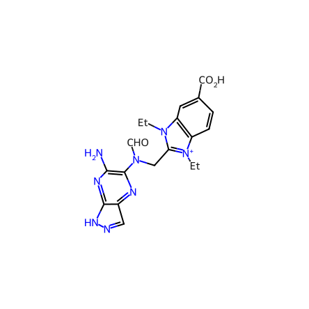 CCn1c(CN(C=O)c2nc3cn[nH]c3nc2N)[n+](CC)c2ccc(C(=O)O)cc21